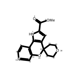 COC(=O)c1cc2c([nH]1)-c1ccncc1OC21CCOCC1